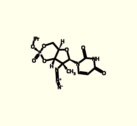 CC(C)O[P@@]1(=O)OC[C@H]2O[C@@H](n3ccc(=O)[nH]c3=O)[C@](C)(N=[N+]=[N-])[C@@H]2O1